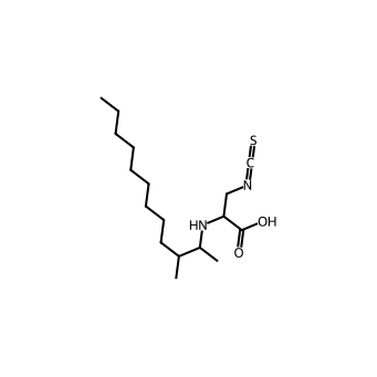 CCCCCCCCCC(C)C(C)NC(CN=C=S)C(=O)O